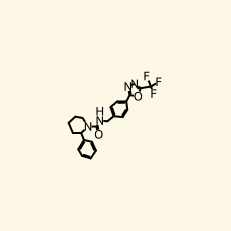 O=C(NCc1ccc(-c2nnc(C(F)(F)F)o2)cc1)N1CCCCC1c1ccccc1